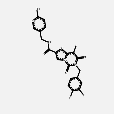 Cc1c(=O)n(Cc2ccc(F)c(F)c2)c(=O)n2cc(C(=O)NCc3ccc(O)nc3)sc12